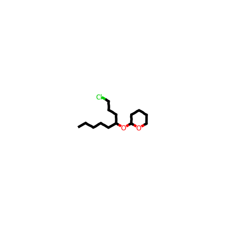 CCCCCC(CCCCl)OC1CCCCO1